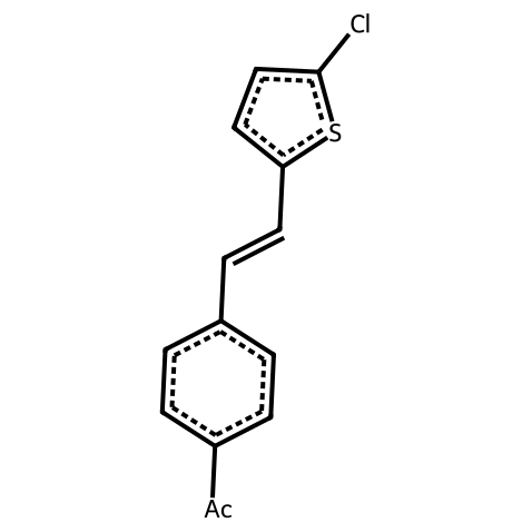 CC(=O)c1ccc(C=Cc2ccc(Cl)s2)cc1